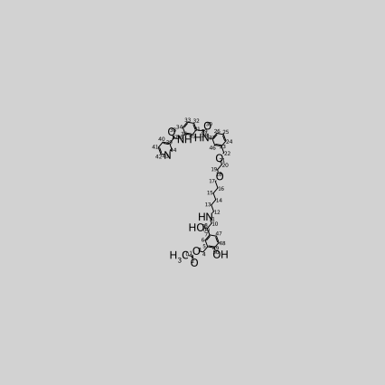 CC(=O)OCc1cc([C@@H](O)CNCCCCCCOCCOCc2cccc(NC(=O)c3cccc(NC(=O)c4cccnc4)c3)c2)ccc1O